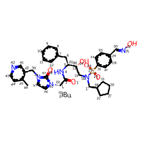 CC[C@H](C)[C@@H](C(=O)N[C@@H](Cc1ccccc1)[C@H](O)CN(CC1CCCC1)S(=O)(=O)c1ccc(C=NO)cc1)n1ccn(Cc2cnccc2C)c1=O